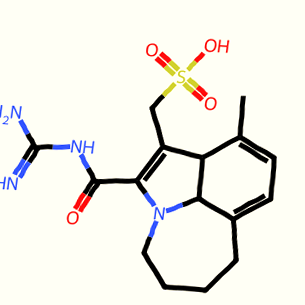 CC1=CC=C2CCCCN3C(C(=O)NC(=N)N)=C(CS(=O)(=O)O)C1C23